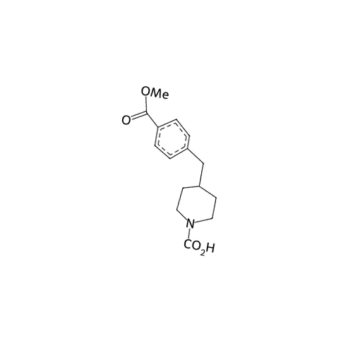 COC(=O)c1ccc(CC2CCN(C(=O)O)CC2)cc1